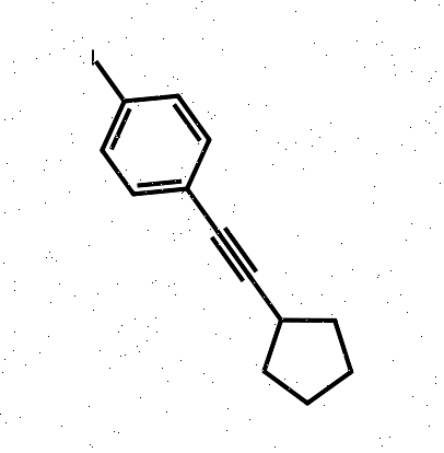 Ic1ccc(C#CC2CCCC2)cc1